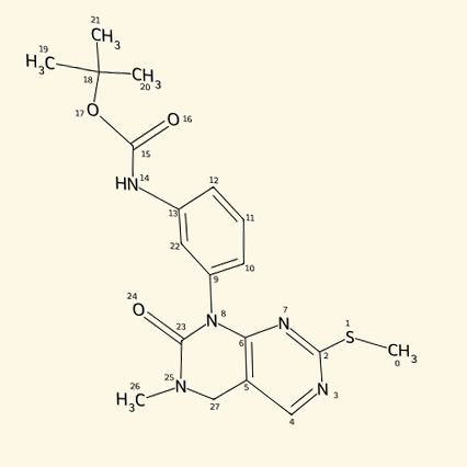 CSc1ncc2c(n1)N(c1cccc(NC(=O)OC(C)(C)C)c1)C(=O)N(C)C2